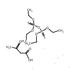 CC(=O)CC(=O)O.CCOP(=S)(OCC)OP(=S)(OCC)OCC